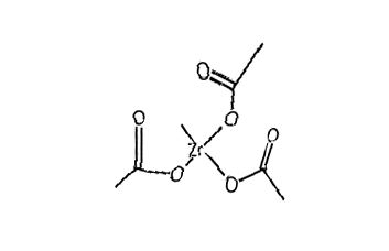 CC(=O)[O][Zr]([CH3])([O]C(C)=O)[O]C(C)=O